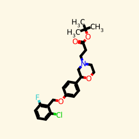 CC(C)(C)OC(=O)CCN1CCOC(c2ccc(OCc3c(F)cccc3Cl)cc2)C1